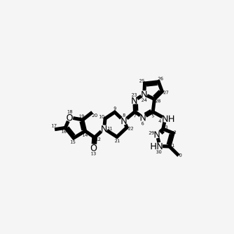 Cc1cc(Nc2nc(N3CCN(C(=O)c4cc(C)oc4C)CC3)nn3cccc23)n[nH]1